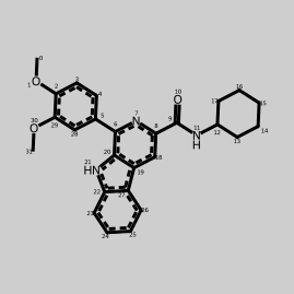 COc1ccc(-c2nc(C(=O)NC3CCCCC3)cc3c2[nH]c2ccccc23)cc1OC